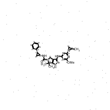 COc1nc(Nc2n[nH]c3c2CN(C(=O)N[C@@H]2C[C@H]2c2ccccc2)C3(C)C)nc(N2CC2C)n1